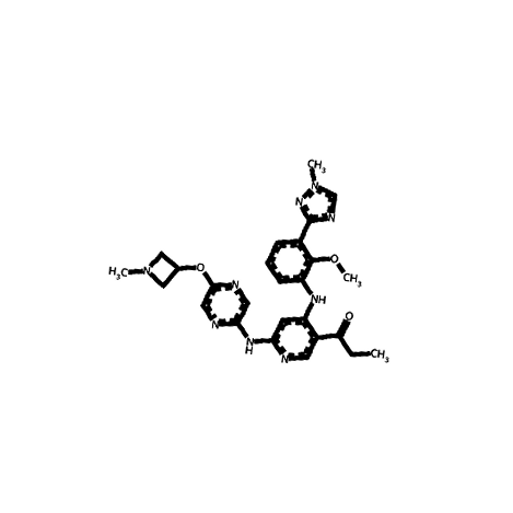 CCC(=O)c1cnc(Nc2cnc(OC3CN(C)C3)cn2)cc1Nc1cccc(-c2ncn(C)n2)c1OC